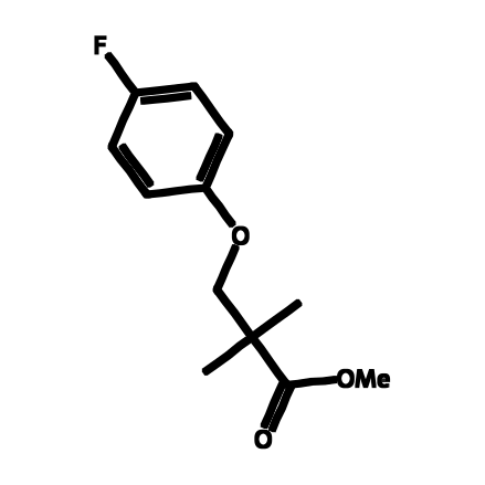 COC(=O)C(C)(C)COc1ccc(F)cc1